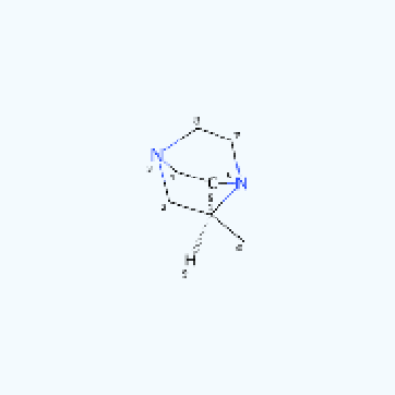 C[C@H]1CN2CCN1CC2